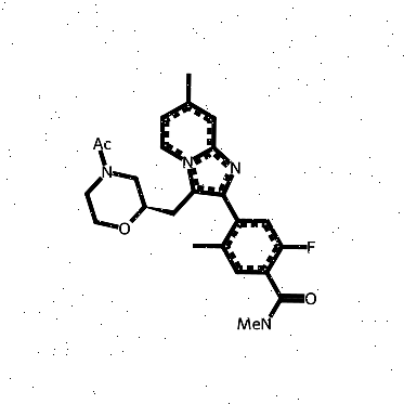 CNC(=O)c1cc(C)c(-c2nc3cc(C)ccn3c2C[C@@H]2CN(C(C)=O)CCO2)cc1F